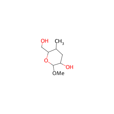 COC1OC(CO)C(C)CC1O